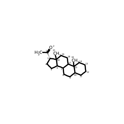 CC(=O)[C@H]1CCC2C3CCC4CCCCC4(C)C3CCC21C